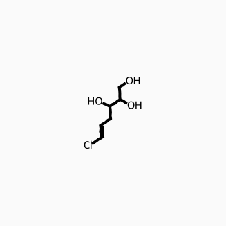 OCC(O)C(O)CC=CCl